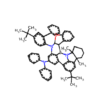 CC(C)(C)c1ccc(N2c3cc(N(c4ccccc4)c4ccccc4)cc4c3B(C3c5ccccc5OC32)N2c3c-4cc(C(C)(C)C)cc3C3(C)CCCCC23C)c(-c2ccccc2)c1